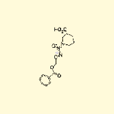 O=C(OCO/N=[N+](\[O-])N1CCCC(C(=O)O)C1)c1ccccc1